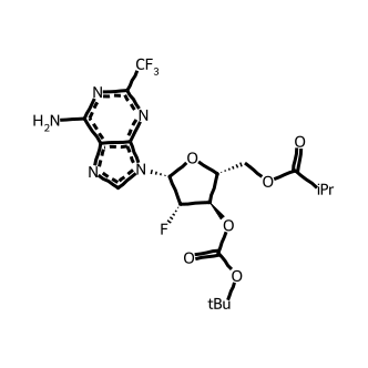 CC(C)C(=O)OC[C@H]1O[C@@H](n2cnc3c(N)nc(C(F)(F)F)nc32)[C@@H](F)[C@@H]1OC(=O)OC(C)(C)C